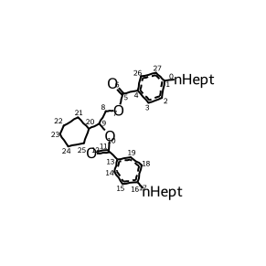 CCCCCCCc1ccc(C(=O)OCC(OC(=O)c2ccc(CCCCCCC)cc2)C2CCCCC2)cc1